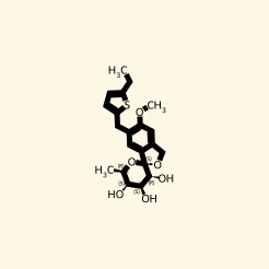 CCc1ccc(Cc2cc3c(cc2OC)CO[C@]32O[C@H](C)[C@@H](O)[C@H](O)[C@H]2O)s1